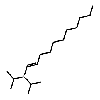 CCCCCCCCCC=CN(C(C)C)C(C)C